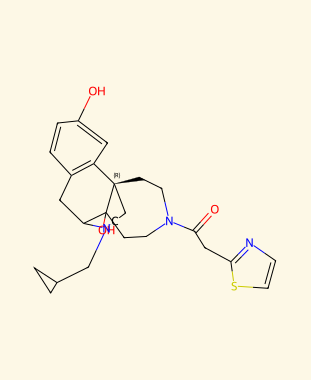 O=C(Cc1nccs1)N1CCC2(O)C3Cc4ccc(O)cc4[C@]2(CC1)CCN3CC1CC1